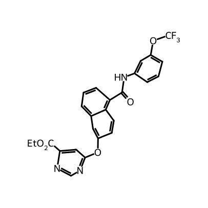 CCOC(=O)c1cc(Oc2ccc3c(C(=O)Nc4cccc(OC(F)(F)F)c4)cccc3c2)ncn1